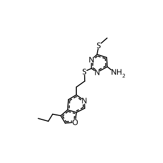 CCCc1coc2cnc(CCSc3nc(N)cc(SC)n3)cc12